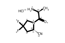 C[C@H](N)C(=O)N1CC(F)(F)C[C@H]1C#N.Cl